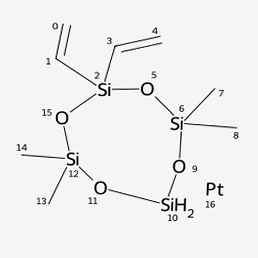 C=C[Si]1(C=C)O[Si](C)(C)O[SiH2]O[Si](C)(C)O1.[Pt]